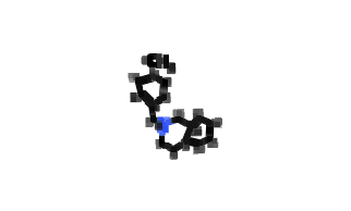 Cc1ccc(CN2CCc3ccccc3C2)cc1